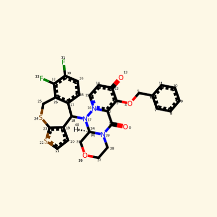 O=C1c2c(OCc3ccccc3)c(=O)ccn2N(C2c3ccsc3SCc3c2ccc(F)c3F)[C@@H]2COCCN12